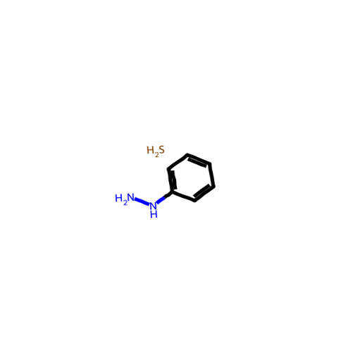 NNc1ccccc1.S